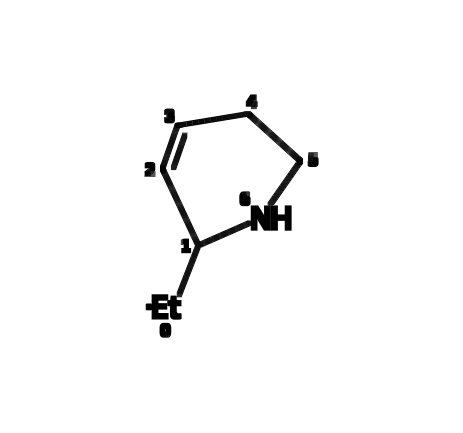 C[CH]C1C=CCCN1